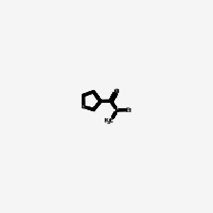 CCN(C)C(=O)C1CCOC1